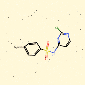 O=[N+]([O-])c1ccc(S(=O)(=O)Nc2ccnc(Cl)n2)cc1